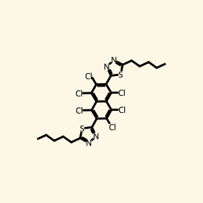 CCCCCc1nnc(-c2c(Cl)c(Cl)c3c(Cl)c(-c4nnc(CCCCC)s4)c(Cl)c(Cl)c3c2Cl)s1